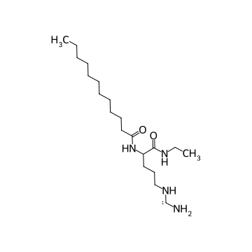 CCCCCCCCCCCC(=O)NC(CCCN[C]N)C(=O)NCC